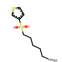 CCCCCCCCCCCCS(=O)(=O)c1ccsc1